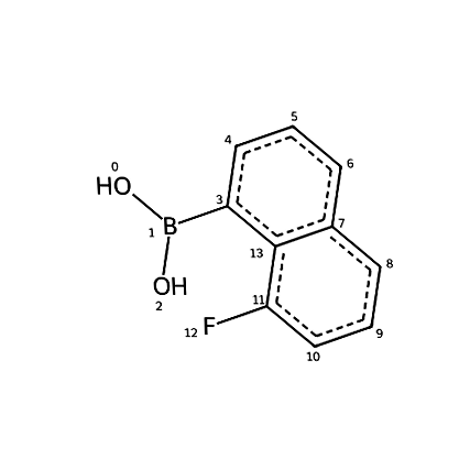 OB(O)c1cccc2cccc(F)c12